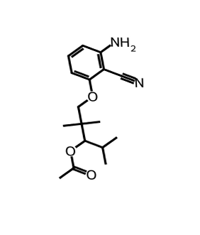 CC(=O)OC(C(C)C)C(C)(C)COc1cccc(N)c1C#N